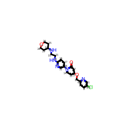 O=c1cc(OCc2ccc(Cl)cn2)ccn1-c1ccc(NCCNC2CCOCC2)nc1